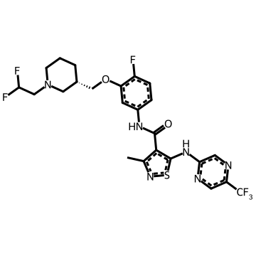 Cc1nsc(Nc2cnc(C(F)(F)F)cn2)c1C(=O)Nc1ccc(F)c(OC[C@H]2CCCN(CC(F)F)C2)c1